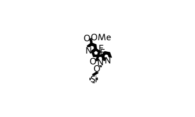 COC(=O)c1cnc2c(c1)C(F)(F)C1(C2)C(=O)N(COCC[Si](C)(C)C)c2ncccc21